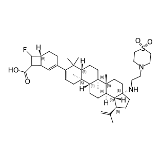 C=C(C)[C@@H]1CC[C@]2(NCCN3CCS(=O)(=O)CC3)CC[C@]3(C)[C@H](CC[C@@H]4[C@@]5(C)CC=C(C6=CC7C(C(=O)O)C(F)[C@@H]7CC6)C(C)(C)[C@@H]5CC[C@]43C)[C@@H]12